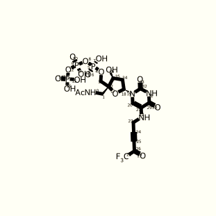 CC(=O)NC[C@]1(COP(=O)(O)OP(=O)(O)OP(=O)(O)O)O[C@@H](n2cc(NCC#CC(=O)C(F)(F)F)c(=O)[nH]c2=O)C[C@@H]1O